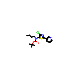 CCCCN(C(=O)OC(C)(C)C)c1sc(-c2cccnc2)nc1Cl